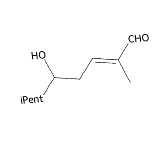 CCCC(C)C(O)C/C=C(\C)C=O